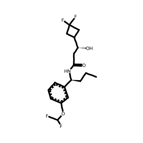 CCC[C@H](NC(=O)C[C@@H](O)C1CC(F)(F)C1)c1cccc(OC(F)F)c1